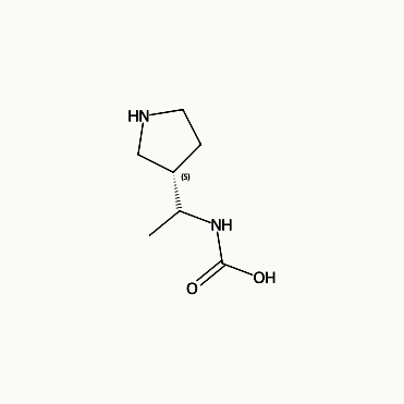 CC(NC(=O)O)[C@H]1CCNC1